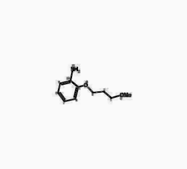 COCCCOc1ccccc1N